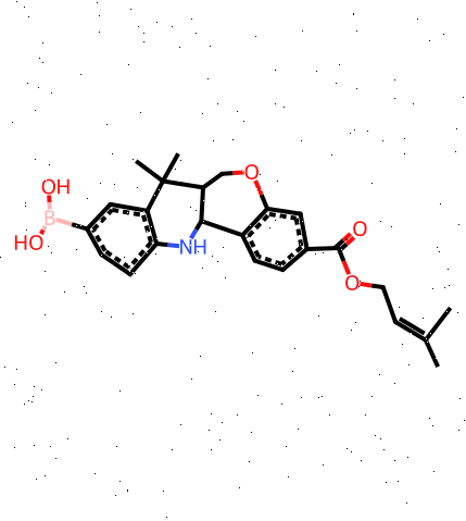 CC(C)=CCOC(=O)c1ccc2c(c1)OCC1C2Nc2ccc(B(O)O)cc2C1(C)C